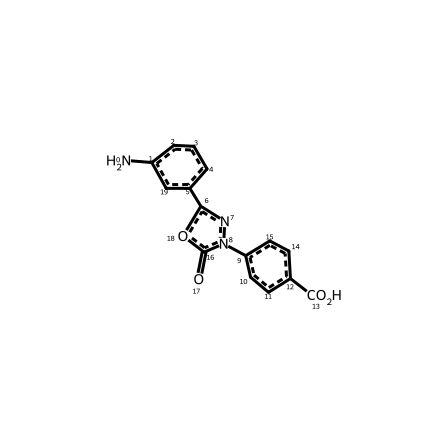 Nc1cccc(-c2nn(-c3ccc(C(=O)O)cc3)c(=O)o2)c1